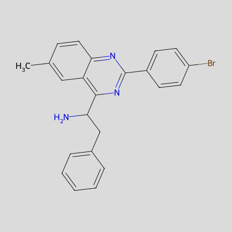 Cc1ccc2nc(-c3ccc(Br)cc3)nc(C(N)Cc3ccccc3)c2c1